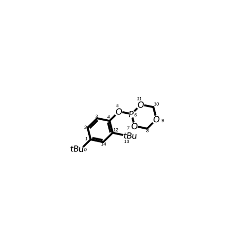 CC(C)(C)c1ccc(OP2OCOCO2)c(C(C)(C)C)c1